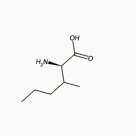 CCCC(C)[C@@H](N)C(=O)O